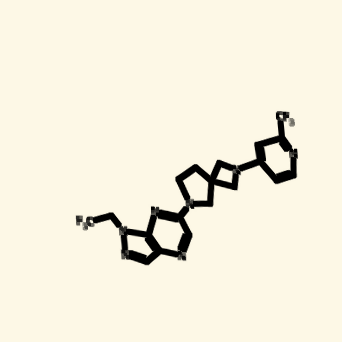 FC(F)(F)Cn1ncc2ncc(N3CCC4(CN(c5ccnc(C(F)(F)F)c5)C4)C3)nc21